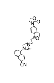 C[C@@H]1CN(c2cccc3cc(C#N)ccc23)CCN1CC[C@@H]1OCCc2cc(N3CCOC3=O)ccc21